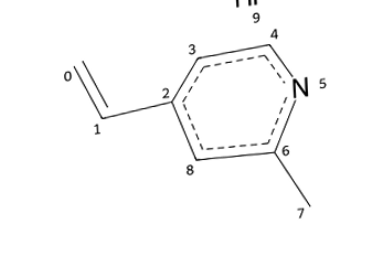 C=Cc1ccnc(C)c1.I